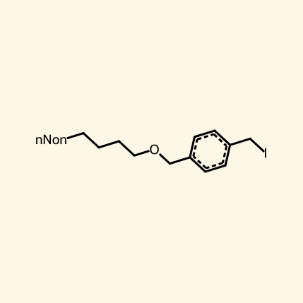 CCCCCCCCCCCCCOCc1ccc(CI)cc1